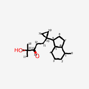 CC1CCCC2C1CCC2C1(CCC(=O)C(C)(C)O)CC1